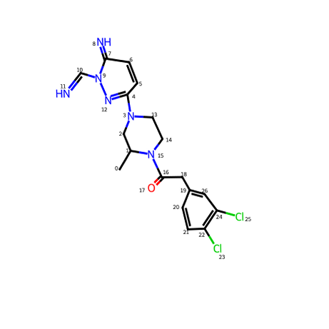 CC1CN(c2ccc(=N)n(C=N)n2)CCN1C(=O)Cc1ccc(Cl)c(Cl)c1